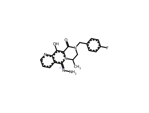 CC1CN(Cc2ccc(F)cc2)C(=O)c2c(O)c3ncccc3/c(=N/N)n21